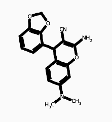 CN(C)c1ccc2c(c1)OC(N)=C(C#N)C2c1cccc2c1OCO2